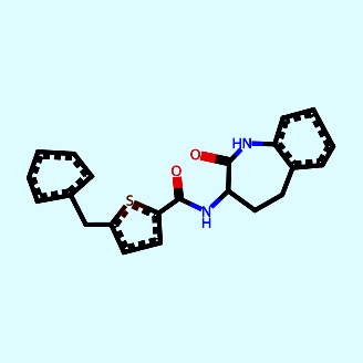 O=C(NC1CCc2ccccc2NC1=O)c1ccc(Cc2ccccc2)s1